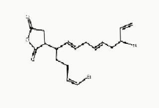 C=CC(CC)C/C=C/C/C=C/C(CC/C=C\CC)C1CC(=O)OC1=O